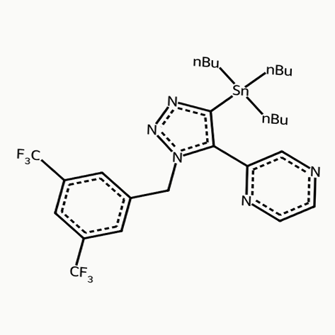 CCC[CH2][Sn]([CH2]CCC)([CH2]CCC)[c]1nnn(Cc2cc(C(F)(F)F)cc(C(F)(F)F)c2)c1-c1cnccn1